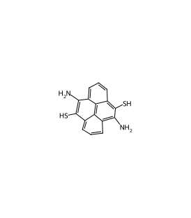 Nc1c(S)c2cccc3c(N)c(S)c4cccc1c4c32